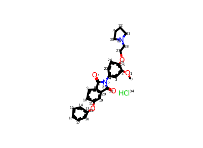 COc1cc(N2C(=O)c3ccc(Oc4ccccc4)cc3C2=O)ccc1OCCN1CCCC1.Cl